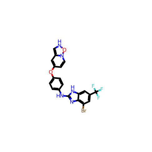 FC(F)(F)c1cc(Br)c2nc(Nc3ccc(OC4=CC5=CNON5C=C4)cc3)[nH]c2c1